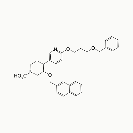 O=C(O)N1CCC(c2ccc(OCCCOCc3ccccc3)nc2)C(OCc2ccc3ccccc3c2)C1